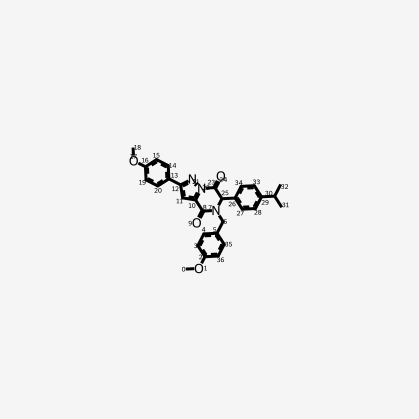 COc1ccc(CN2C(=O)c3cc(-c4ccc(OC)cc4)nn3C(=O)C2c2ccc(C(C)C)cc2)cc1